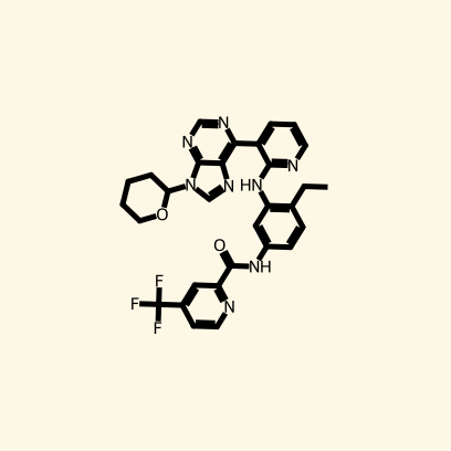 CCc1ccc(NC(=O)c2cc(C(F)(F)F)ccn2)cc1Nc1ncccc1-c1ncnc2c1ncn2C1CCCCO1